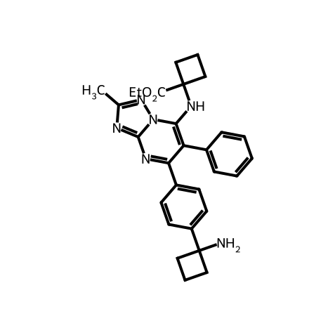 CCOC(=O)C1(Nc2c(-c3ccccc3)c(-c3ccc(C4(N)CCC4)cc3)nc3nc(C)nn23)CCC1